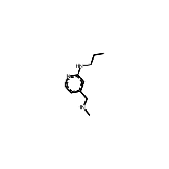 CCCNc1cc(CNC)ccn1